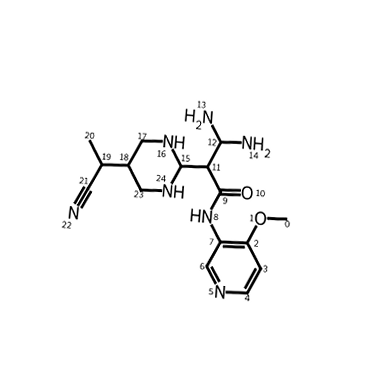 COc1ccncc1NC(=O)C(C(N)N)C1NCC(C(C)C#N)CN1